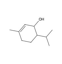 CC1=CC(O)C(C(C)C)CC1